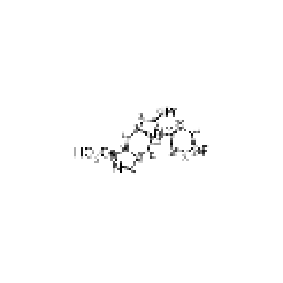 CC(C)c1cc2cc3c(cnn3C(=O)O)cc2n1-c1ccc(F)cc1